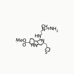 COC(=O)c1ccc2c(c1)[nH]c1cc(Cc3ccsc3)nc(NCCN(C)CCN)c12